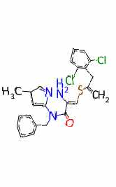 C=C(Cc1c(Cl)cccc1Cl)S/C=C(\N)C(=O)N(Cc1ccccc1)C1=CC(C)C=N1